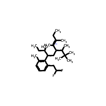 CC/C(C)=C(\C)C(CC(c1c(C)cccc1CC(F)F)C(C)CC)C(C)C(C)(C)C